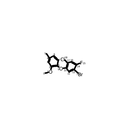 COc1cc(C)ccc1Oc1cc(Br)c(F)cc1Cl